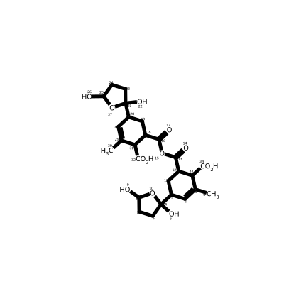 CC1=CC(C2(O)CCC(O)O2)CC(C(=O)OC(=O)C2CC(C3(O)CCC(O)O3)C=C(C)C2C(=O)O)C1C(=O)O